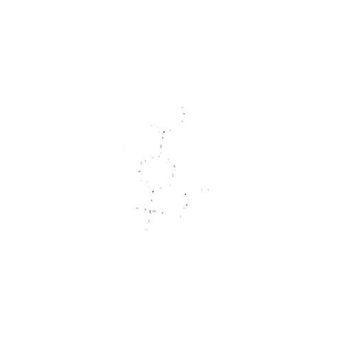 COC(=O)c1cc([N+](=O)[O-])c(C(F)(F)F)cc1F